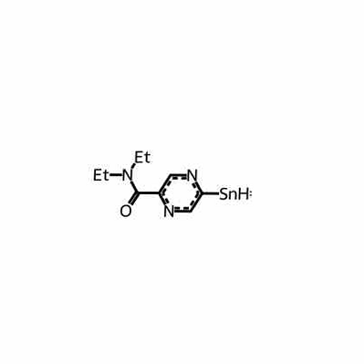 CCN(CC)C(=O)c1cn[c]([SnH])cn1